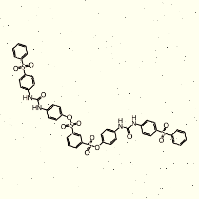 O=C(Nc1ccc(OS(=O)(=O)c2cccc(S(=O)(=O)Oc3ccc(NC(=O)Nc4ccc(S(=O)(=O)c5ccccc5)cc4)cc3)c2)cc1)Nc1ccc(S(=O)(=O)c2ccccc2)cc1